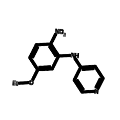 CCOc1ccc([N+](=O)[O-])c(Nc2ccncc2)c1